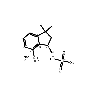 C[C@@H]1CC(C)(C)c2cccc(N)c21.O=S(=O)([O-])O.[Na+]